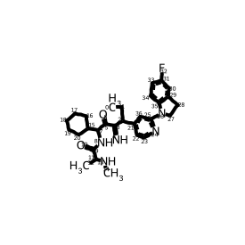 CCC(C(=N)C(=O)C(NC(=O)C(C)NC)C1CCCCC1)c1ccnc(N2CCc3cc(F)ccc32)c1